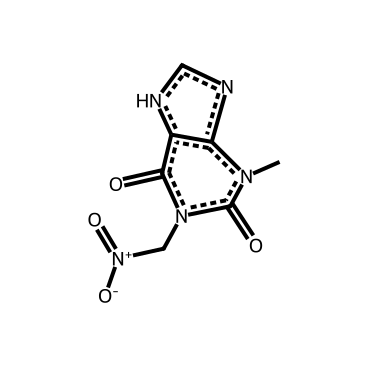 Cn1c(=O)n(C[N+](=O)[O-])c(=O)c2[nH]cnc21